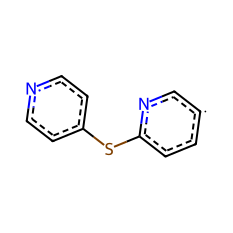 [c]1ccc(Sc2ccncc2)nc1